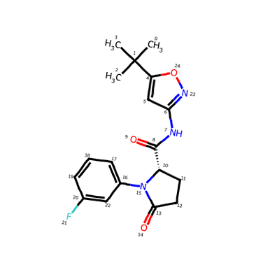 CC(C)(C)c1cc(NC(=O)[C@@H]2CCC(=O)N2c2cccc(F)c2)no1